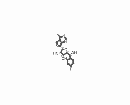 Cc1ncnc2c([C@@H]3O[C@H]([C@H](O)c4ccc(F)cc4)[C@@H](O)[C@H]3O)scc12